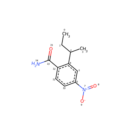 CCC(C)c1cc([N+](=O)[O-])ccc1C(N)=O